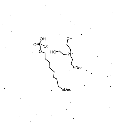 CCCCCCCCCCCCCCCCCCOP(=O)(O)O.CCCCCCCCCCCCN(CCO)CCO